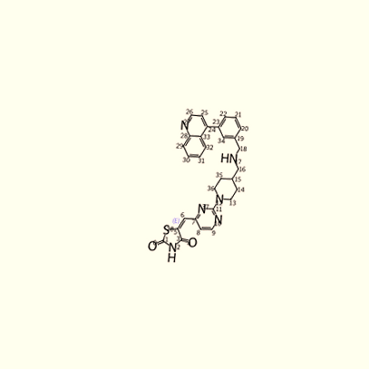 O=C1NC(=O)/C(=C\c2ccnc(N3CCC(CNCc4cccc(-c5ccnc6ccccc56)c4)CC3)n2)S1